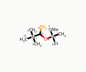 CC[Si](C)(OC)OC(P)[Si](C)(C)C